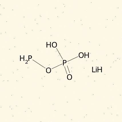 O=P(O)(O)OP.[LiH]